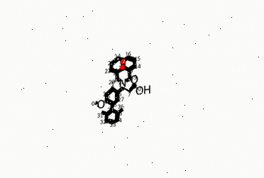 COc1ccc([C@H](CC(=O)O)N(Cc2ccccc2)[C@H](C)c2ccccc2)cc1-c1c(C)cccc1C